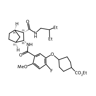 CCOC(=O)C1CCC(Oc2cc(C(=O)N[C@@H]3[C@H]4CC[C@H](C4)[C@@H]3C(=O)NCC(CC)CC)c(OC)cc2F)CC1